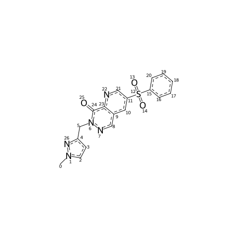 Cn1ccc(Cn2ncc3cc(S(=O)(=O)c4ccccc4)cnc3c2=O)n1